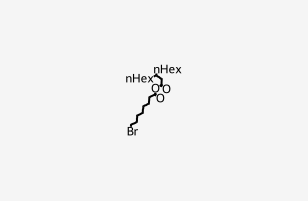 CCCCCCC(CCCCCC)CC(=O)OC(=O)CCCCCCCBr